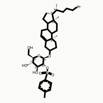 Cc1ccc(S(=O)(=O)O[C@H]2[C@H](OC3CC[C@@]4(C)C(=CCC5C4CC[C@@]4(C)C5CC[C@@H]4[C@H](C)CCCC(C)C)C3)O[C@H](CO)[C@@H](O)[C@@H]2O)cc1